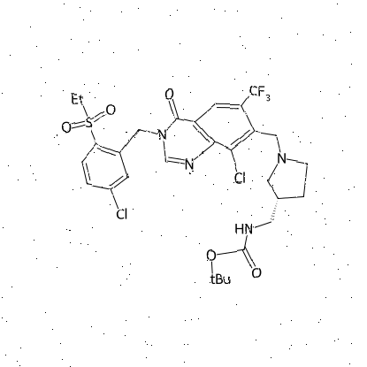 CCS(=O)(=O)c1ccc(Cl)cc1Cn1cnc2c(Cl)c(CN3CC[C@H](CNC(=O)OC(C)(C)C)C3)c(C(F)(F)F)cc2c1=O